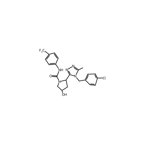 Cc1nnc(C2CC(O)CN2C(=O)Nc2ccc(C(F)(F)F)cc2)n1Cc1ccc(Cl)cc1